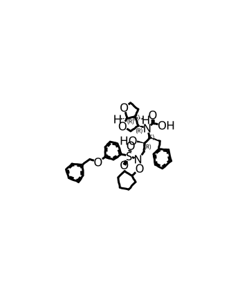 O=C(O)N([C@H]1CO[C@H]2OCC[C@H]21)[C@@H](Cc1ccccc1)[C@H](O)CN(OC1CCCCC1)S(=O)(=O)c1cccc(OCc2ccccc2)c1